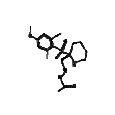 COc1cc(C)c(S(=O)(=O)[C@]2(COOC(C)=O)CCCCN2)c(C)c1